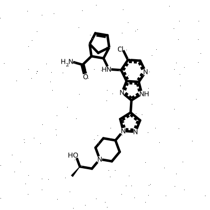 C[C@@H](O)CN1CCC(n2cc(-c3nc4c(NC5C6C=CC(C6)C5C(N)=O)c(Cl)cnc4[nH]3)cn2)CC1